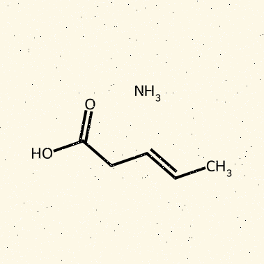 CC=CCC(=O)O.N